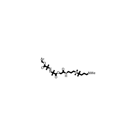 CNCCCC(C)(C)[Si](C)(C)CCCNC(=O)COC(=O)C(C)(C)N=NC(C)(C)C(=O)OCC(C)=O